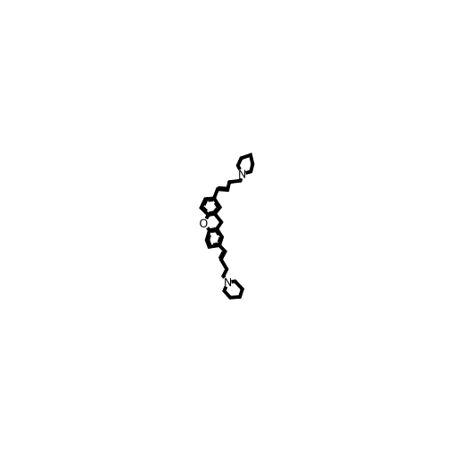 C(=Cc1ccc2c(c1)Cc1cc(C=CCCN3CCCCC3)ccc1O2)CCN1CCCCC1